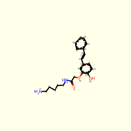 NCCCCCNC(=O)COc1cc(/C=C/c2ccccc2)ccc1O